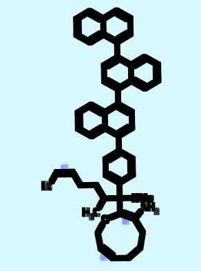 CC/C=C\CCC(C)C(NC)(/C1=C(\N)CCC/C=C\CO1)c1ccc(-c2ccc(-c3ccc(-c4cccc5ccccc45)c4ccccc34)c3ccccc23)cc1